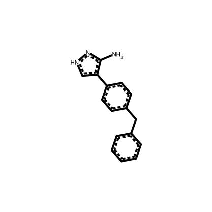 Nc1n[nH]cc1-c1ccc(Cc2ccccc2)cc1